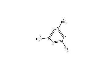 [2H]c1cc(B)cc(B)c1